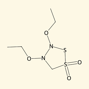 CCON1CS(=O)(=O)SN1OCC